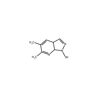 CC1=CC2C=NN(C(C)C)C2N=C1C